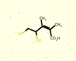 CC(C(=O)O)=C(C)C(S)CS